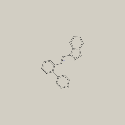 C(=C\n1ncc2ccccc21)/c1ccccc1-c1ccncc1